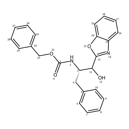 O=C(N[C@@H](Cc1ccccc1)C(O)c1nc2ccccc2o1)OCc1ccccc1